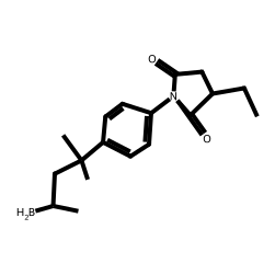 BC(C)CC(C)(C)c1ccc(N2C(=O)CC(CC)C2=O)cc1